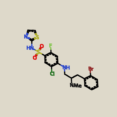 CNC(CNc1cc(F)c(S(=O)(=O)Nc2nccs2)cc1Cl)Cc1ccccc1Br